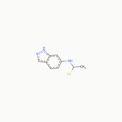 CC(S)Nc1ccc2cn[nH]c2c1